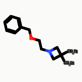 CCOC(=O)C1(C(=O)OCC)CN(CCOCc2ccccc2)C1